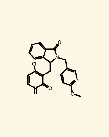 COc1ccc(CN2C(=O)c3ccccc3C2Cc2c(Cl)cc[nH]c2=O)cn1